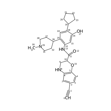 C#Cc1ccc2c(c1)NCC(C(=O)Nc1cc(O)c(C3CCCC3)cc1C1CCN(C)CC1)O2